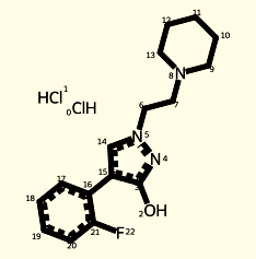 Cl.Cl.Oc1nn(CCN2CCCCC2)cc1-c1ccccc1F